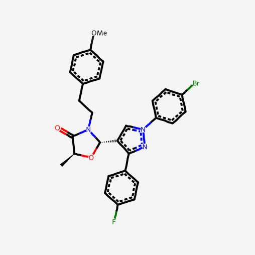 COc1ccc(CCN2C(=O)[C@H](C)O[C@H]2c2cn(-c3ccc(Br)cc3)nc2-c2ccc(F)cc2)cc1